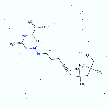 C=C(CNNCCCC#CCC(C)(C)CC(C)(C)CC)NC(C)C(=C)C